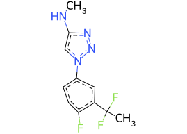 CNc1cn(-c2ccc(F)c(C(C)(F)F)c2)nn1